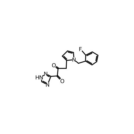 O=C(Cc1cccn1Cc1ccccc1F)C(=O)c1nc[nH]n1